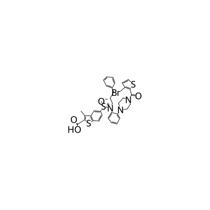 Cc1c(C(=O)O)sc2ccc([S+]([O-])N(CCCc3ccccc3)c3ccccc3N3CCN(C(=O)c4sccc4Br)CC3)cc12